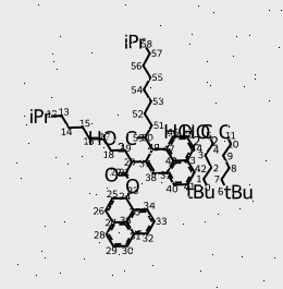 CC(C)(C)CCCCC(=O)O.CC(C)(C)CCCCC(=O)O.CC(C)CCCCCCCC(C(=O)OC1C=Cc2cccc3cccc1c23)C1=Cc2cccc3cccc(c23)C1C(CCCCCCCC(C)C)C(=O)O